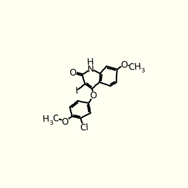 COc1ccc2c(Oc3ccc(OC)c(Cl)c3)c(I)c(=O)[nH]c2c1